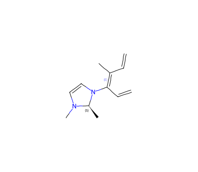 C=C/C(C)=C(\C=C)N1C=CN(C)[C@@H]1C